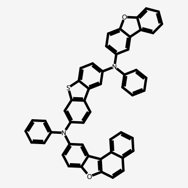 c1ccc(N(c2ccc3oc4ccccc4c3c2)c2ccc3sc4cc(N(c5ccccc5)c5ccc6oc7ccc8ccccc8c7c6c5)ccc4c3c2)cc1